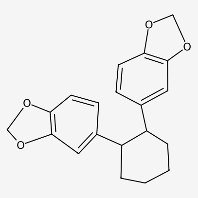 c1cc2c(cc1C1CCCCC1c1ccc3c(c1)OCO3)OCO2